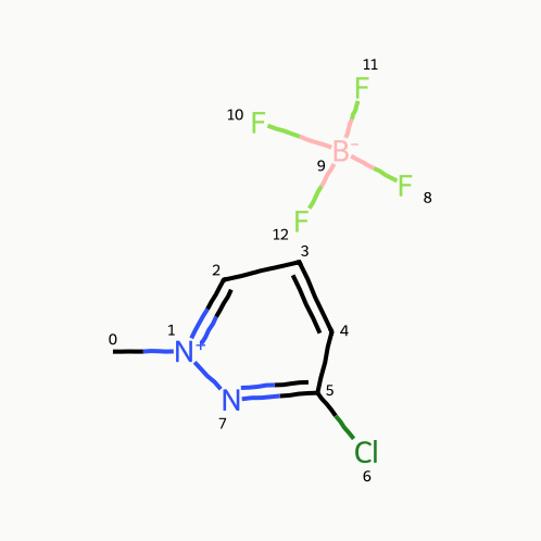 C[n+]1cccc(Cl)n1.F[B-](F)(F)F